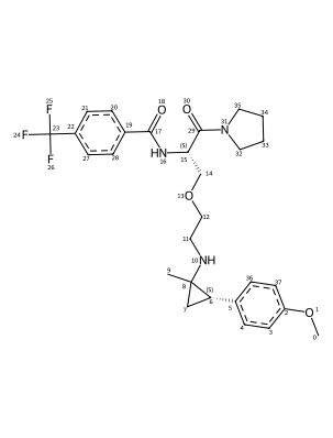 COc1ccc([C@@H]2CC2(C)NCCOC[C@H](NC(=O)c2ccc(C(F)(F)F)cc2)C(=O)N2CCCC2)cc1